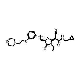 CCn1c(=C(C#N)C(=O)NCC2CC2)sc(=CNc2cccc(OCCN3CCOCC3)c2)c1=O